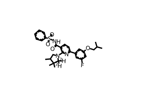 [2H]C1([2H])N(c2nc(-c3cc(F)cc(OCC(C)C)c3)ccc2C(=O)NS(=O)(=O)c2ccccc2)CC(C)C1(C)C